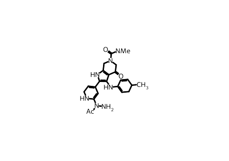 CNC(=O)N1CC(=O)c2c([nH]c(C3=CCNC(N(N)C(C)=O)=C3)c2NC2=CCC(C)C=C2)C1